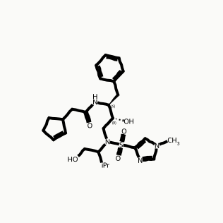 CC(C)C(CO)N(C[C@@H](O)[C@H](Cc1ccccc1)NC(=O)CC1C=CCC1)S(=O)(=O)c1cn(C)cn1